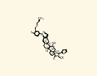 C=CCOCc1cc(-n2ncc3c2C=C2CC[C@@H]4[C@H]([C@@H](O)C[C@@]5(C)[C@H]4CC[C@]5(OC(=O)c4ccco4)C(=O)SCC#N)[C@@]2(C)C3)ccc1F